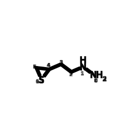 NNCCC1CS1